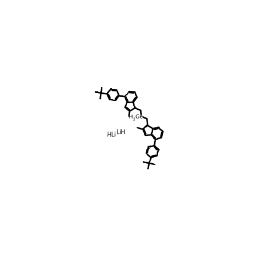 CC1=Cc2c(-c3ccc(C(C)(C)C)cc3)cccc2C1[CH2][GeH2][CH2]C1C(C)=Cc2c(-c3ccc(C(C)(C)C)cc3)cccc21.[LiH].[LiH]